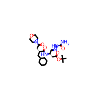 CC(C)(C)OC(=O)C[C@@H](/C=N/NC(N)=O)NC(=O)[C@@H](CC(=O)N1CCOCC1)CC1CCCCC1